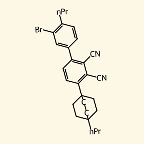 CCCc1ccc(-c2ccc(C34CCC(CCC)(CC3)CC4)c(C#N)c2C#N)cc1Br